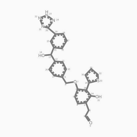 O=CCc1ccc(OCc2ccc(C(O)c3cccc(-c4nn[nH]n4)c3)cc2)c(-c2cccs2)c1O